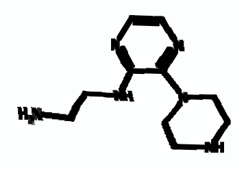 NCCNc1nccnc1N1CCNCC1